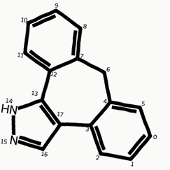 c1ccc2c(c1)Cc1ccccc1-c1[nH]ncc1-2